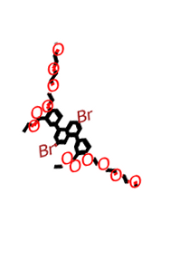 CCOC(=O)c1cc(-c2cc(Br)cc3c(-c4ccc(OCCOCCOCCOC)c(C(=O)OCC)c4)cc(Br)cc23)ccc1OCCOCCOCCOC